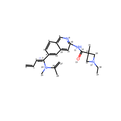 C=C/C=C(/c1ccc2cnc(NC(=O)C3(C)CN(CC)C3)cc2c1)N(C)C(=C)C